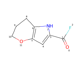 O=C(F)c1cc2c([nH]1)CCCO2